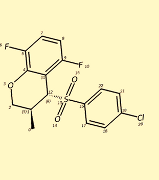 C[C@H]1COc2c(F)ccc(F)c2[C@@H]1S(=O)(=O)c1ccc(Cl)cc1